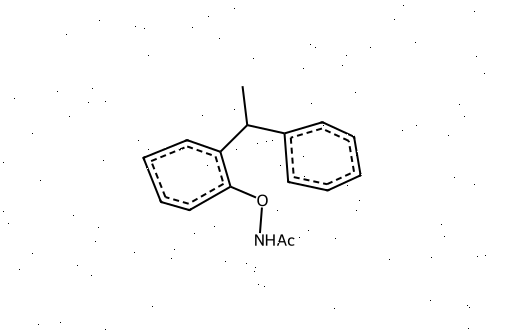 CC(=O)NOc1ccccc1C(C)c1ccccc1